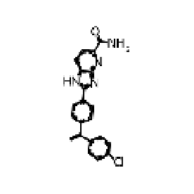 C=C(c1ccc(Cl)cc1)c1ccc(-c2nc3nc(C(N)=O)ccc3[nH]2)cc1